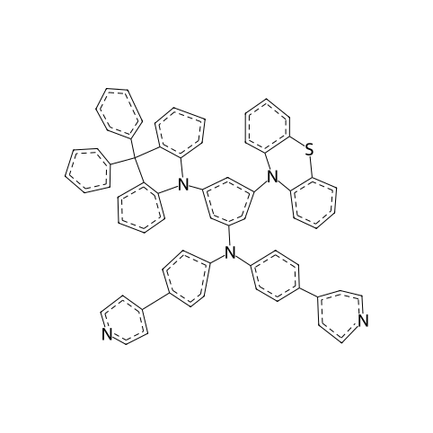 c1ccc(C2(c3ccccc3)c3ccccc3N(c3cc(N(c4ccc(-c5ccncc5)cc4)c4ccc(-c5ccncc5)cc4)cc(N4c5ccccc5Sc5ccccc54)c3)c3ccccc32)cc1